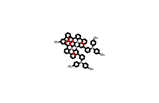 CC(C)(C)c1ccc(N(c2ccc(C(C)(C)C)cc2)c2cccc(-c3ccc4c(c3)B3c5cc(-c6cccc(N(c7ccc(C(C)(C)C)cc7)c7ccc(C(C)(C)C)cc7)c6)ccc5N(c5c(-c6ccccc6)cccc5-c5ccccc5)c5cc(-n6c7ccccc7c7cc(C(C)(C)C)ccc76)cc(c53)N4c3c(-c4ccccc4)cccc3-c3ccccc3)c2)cc1